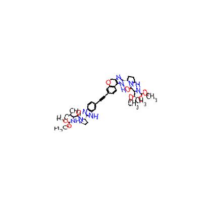 COC(=O)N[C@H](C(=O)N1CCC[C@H]1c1nc2ccc(C#Cc3ccc4c(c3)OCc3nc([C@@H]5CCCN5C(=O)[C@@H](NC(=O)OC)[C@@H](C)OC)[nH]c3-4)cc2[nH]1)C(C)C